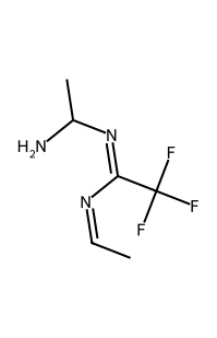 C/C=N\C(=N/C(C)N)C(F)(F)F